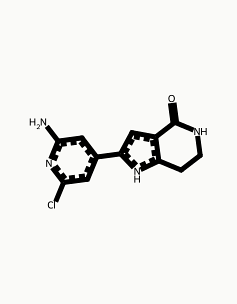 Nc1cc(-c2cc3c([nH]2)CCNC3=O)cc(Cl)n1